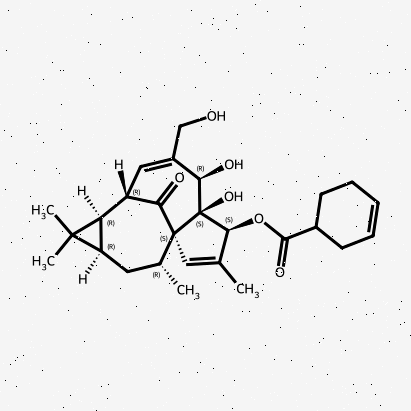 CC1=C[C@]23C(=O)[C@@H](C=C(CO)[C@@H](O)[C@]2(O)[C@H]1OC(=O)C1CC=CCC1)[C@H]1[C@@H](C[C@H]3C)C1(C)C